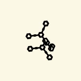 C(#Cc1cc(C#Cc2ccccc2)cc(C23CC4CC(c5cc(C#Cc6ccccc6)cc(C#Cc6ccccc6)c5)(C2)CC(C25CC6CC(CC(C6)C2)C5)(C4)C3)c1)c1ccccc1